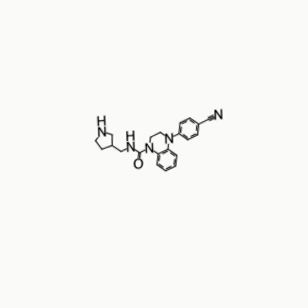 N#Cc1ccc(N2CCN(C(=O)NCC3CCNC3)c3ccccc32)cc1